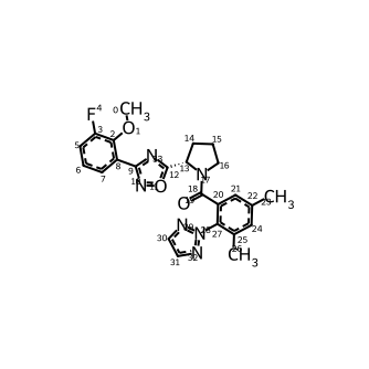 COc1c(F)cccc1-c1noc([C@@H]2CCCN2C(=O)c2cc(C)cc(C)c2-n2nccn2)n1